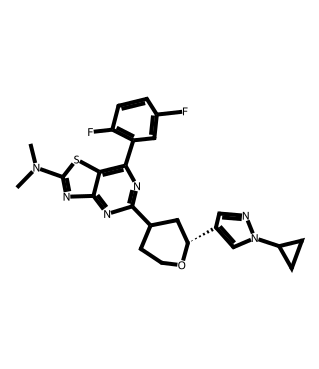 CN(C)c1nc2nc(C3CCO[C@@H](c4cnn(C5CC5)c4)C3)nc(-c3cc(F)ccc3F)c2s1